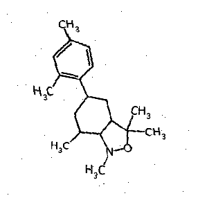 Cc1ccc(C2CC(C)C3C(C2)C(C)(C)ON3C)c(C)c1